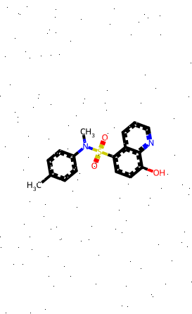 Cc1ccc(N(C)S(=O)(=O)c2ccc(O)c3ncccc23)cc1